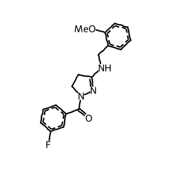 COc1ccccc1CNC1=NN(C(=O)c2cccc(F)c2)CC1